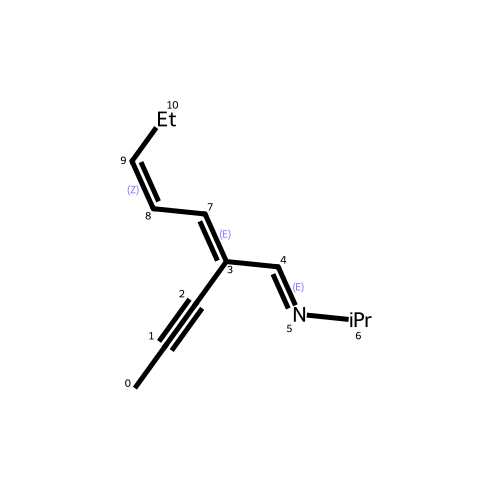 CC#CC(/C=N/C(C)C)=C\C=C/CC